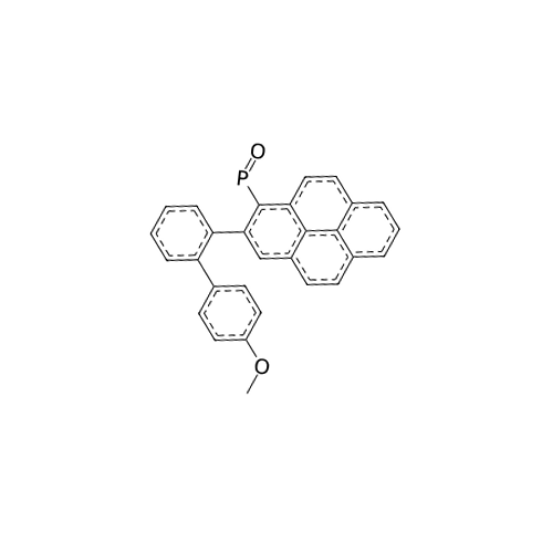 COc1ccc(-c2ccccc2-c2cc3ccc4cccc5ccc(c2P=O)c3c45)cc1